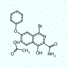 CC(=O)O.NC(=O)c1nc(Br)c2cc(Oc3ccccc3)ccc2c1O